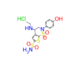 CCN[C@H]1CN(c2ccc(O)cc2)S(=O)(=O)c2sc(S(N)(=O)=O)cc21.Cl